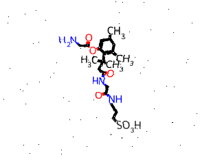 CC1=C(C(C)(C)CC(=O)NCC(=O)NCCCS(=O)(=O)O)C(OC(=O)CN)=CC(C)C1